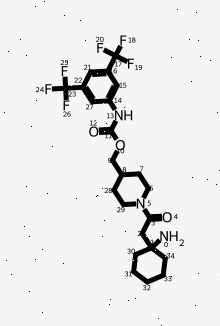 NC1(CC(=O)N2CCC(COC(=O)Nc3cc(C(F)(F)F)cc(C(F)(F)F)c3)CC2)CCCCC1